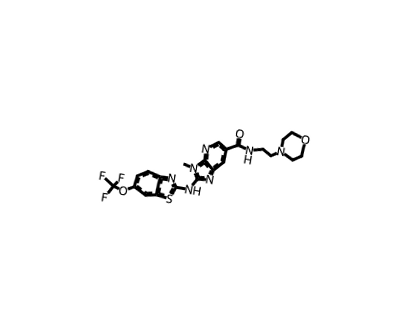 Cn1c(Nc2nc3ccc(OC(F)(F)F)cc3s2)nc2cc(C(=O)NCCN3CCOCC3)cnc21